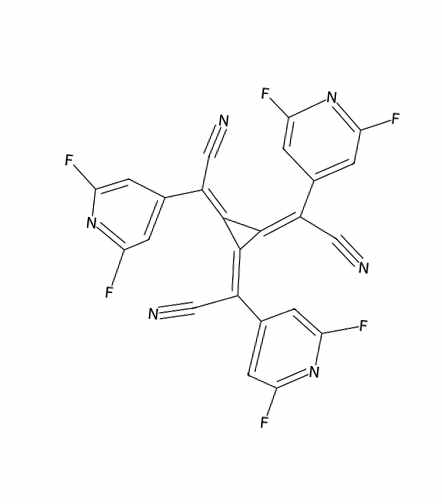 N#CC(=C1C(=C(C#N)c2cc(F)nc(F)c2)C1=C(C#N)c1cc(F)nc(F)c1)c1cc(F)nc(F)c1